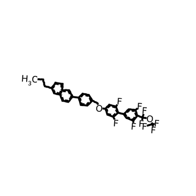 CCCc1ccc2cc(-c3ccc(COc4cc(F)c(-c5cc(F)c(C(F)(F)OC(F)(F)F)c(F)c5)c(F)c4)cc3)ccc2c1